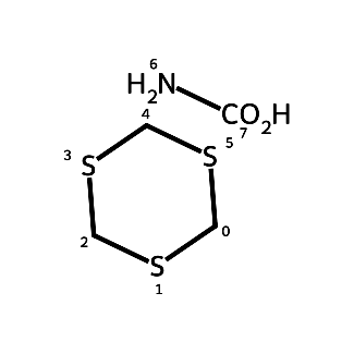 C1SCSCS1.NC(=O)O